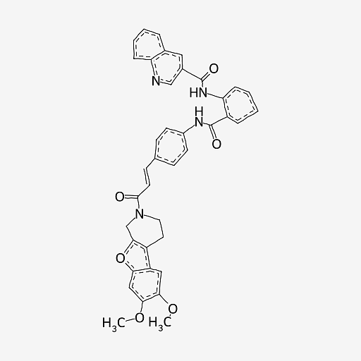 COc1cc2oc3c(c2cc1OC)CCN(C(=O)/C=C/c1ccc(NC(=O)c2ccccc2NC(=O)c2cnc4ccccc4c2)cc1)C3